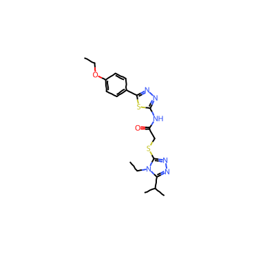 CCOc1ccc(-c2nnc(NC(=O)CSc3nnc(C(C)C)n3CC)s2)cc1